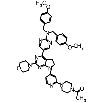 COc1ccc(CN(Cc2ccc(OC)cc2)c2ncc(-c3nc(N4CCOCC4)nc4c3CCN4c3ccnc(N4CCN(C(C)=O)CC4)c3)cn2)cc1